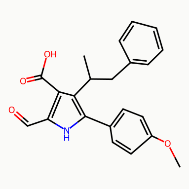 COc1ccc(-c2[nH]c(C=O)c(C(=O)O)c2C(C)Cc2ccccc2)cc1